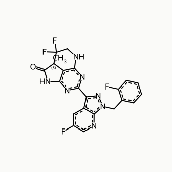 C[C@@]12C(=O)Nc3nc(-c4nn(Cc5ccccc5F)c5ncc(F)cc45)nc(c31)NCC2(F)F